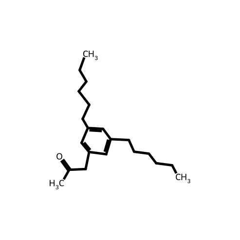 CCCCCCc1cc(CCCCCC)cc(CC(C)=O)c1